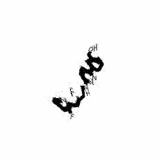 OCc1cccc(-c2ccc(NCC[C@H](F)Cc3ncccc3F)nn2)c1